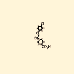 O=C(O)N1CCN(C(=O)COc2ccc(Cl)cc2)CC1